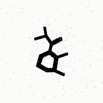 Cc1cccc(C(=O)C(C)C)c1C